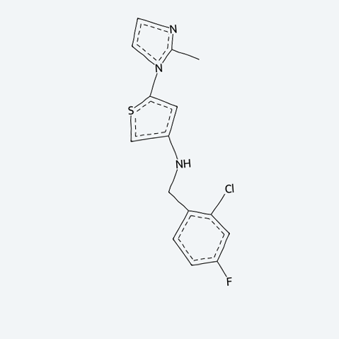 Cc1nccn1-c1cc(NCc2ccc(F)cc2Cl)cs1